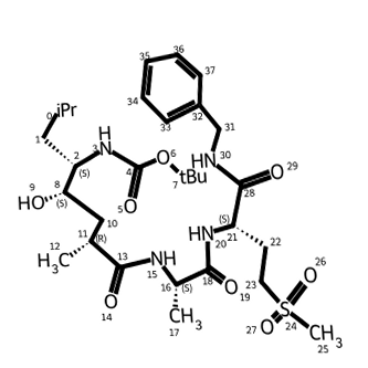 CC(C)C[C@H](NC(=O)OC(C)(C)C)[C@@H](O)C[C@@H](C)C(=O)N[C@@H](C)C(=O)N[C@@H](CCS(C)(=O)=O)C(=O)NCc1ccccc1